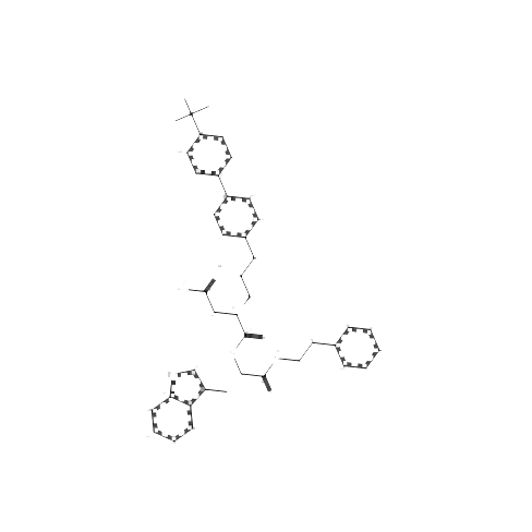 CC(C)(C)c1ccc(-c2ccc(CCC[C@H](CC(=O)O)C(=O)N[C@@H](Cc3c[nH]c4ccccc34)C(=O)NCCc3ccccc3)cc2)cc1